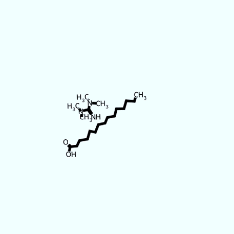 CCCCCCCCCCCCCCC(=O)O.CN(C)C(=N)N(C)C